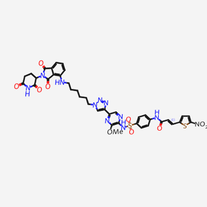 COc1nc(-c2cn(CCCCCCNc3cccc4c3C(=O)N(C3CCC(=O)NC3=O)C4=O)nn2)cnc1NS(=O)(=O)c1ccc(NC(=O)/C=C/c2ccc([N+](=O)[O-])s2)cc1